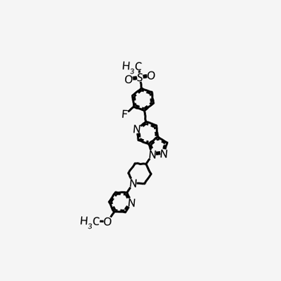 COc1ccc(N2CCC(n3ncc4cc(-c5ccc(S(C)(=O)=O)cc5F)ncc43)CC2)nc1